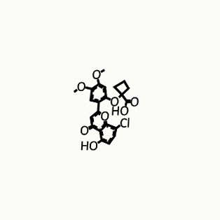 COc1cc(OC2(C(=O)O)CCC2)c(-c2cc(=O)c3c(O)ccc(Cl)c3o2)cc1OC